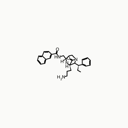 CC[C@H](c1ccccc1)C1N2CC[C@@H](CNC(=O)c3ccc4ccccc4c3)N[C@]1(CCCN)C2=O